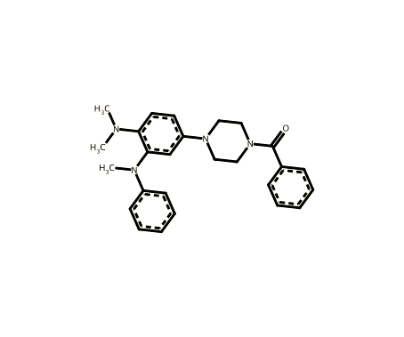 CN(C)c1ccc(N2CCN(C(=O)c3ccccc3)CC2)cc1N(C)c1ccccc1